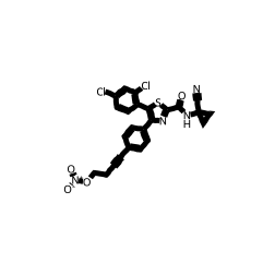 N#CC1(NC(=O)c2nc(-c3ccc(C#CCCO[N+](=O)[O-])cc3)c(-c3ccc(Cl)cc3Cl)s2)CC1